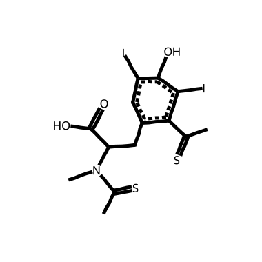 CC(=S)c1c(CC(C(=O)O)N(C)C(C)=S)cc(I)c(O)c1I